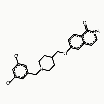 O=c1[nH]ccc2cc(OCC3CCN(Cc4cc(Cl)cc(Cl)c4)CC3)ccc12